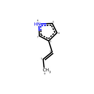 CC=Cc1cc[nH]c1